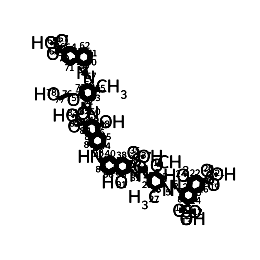 COC1=CC(/N=N/c2cc(S(=O)(=O)O)cc3cc(S(=O)(=O)O)cc(O)c23)C(C)C=C1/N=N/c1c(S(=O)(=O)O)cc2cc(Nc3ccc4c(O)c(/N=N/c5cc(C)c(/N=N/c6cccc7cc(S(=O)(=O)O)ccc67)cc5OCCO)c(S(=O)(=O)O)cc4c3)ccc2c1O